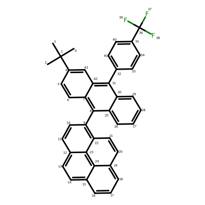 CC(C)(C)c1ccc2c(-c3ccc4ccc5cccc6ccc3c4c56)c3ccccc3c(-c3ccc(C(F)(F)F)cc3)c2c1